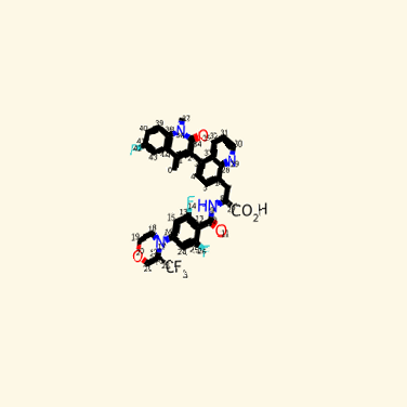 Cc1c(-c2ccc(CC(NC(=O)c3c(F)cc(N4CCOC[C@@H]4C(F)(F)F)cc3F)C(=O)O)c3ncccc23)c(=O)n(C)c2ccc(F)cc12